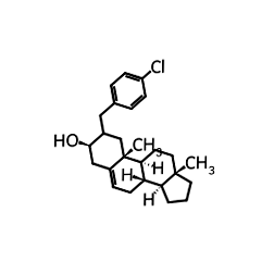 C[C@@]12CCC[C@H]1[C@@H]1CC=C3C[C@@H](O)C(Cc4ccc(Cl)cc4)C[C@]3(C)[C@H]1CC2